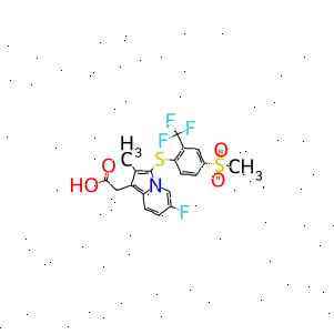 Cc1c(CC(=O)O)c2ccc(F)cn2c1Sc1ccc(S(C)(=O)=O)cc1C(F)(F)F